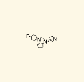 CN1CC[C@H](CN2CCN(c3ccc(F)cc3)c3ccccc32)C1